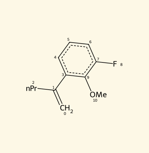 C=C(CCC)c1cccc(F)c1OC